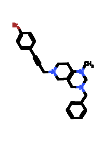 CN1CN(Cc2ccccc2)CC2=C1CCN(CC#Cc1ccc(Br)cc1)C2